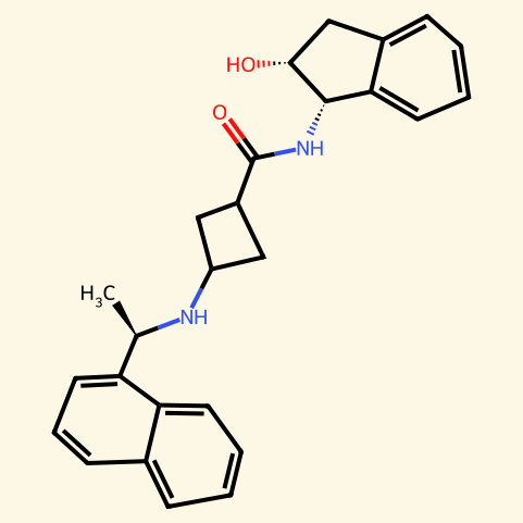 C[C@@H](NC1CC(C(=O)N[C@H]2c3ccccc3C[C@H]2O)C1)c1cccc2ccccc12